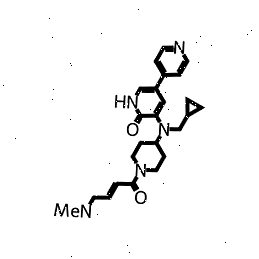 CNCC=CC(=O)N1CCC(N(CC2CC2)c2cc(-c3ccncc3)c[nH]c2=O)CC1